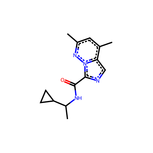 Cc1cc(C)c2cnc(C(=O)NC(C)C3CC3)n2n1